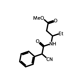 CCC(CC(=O)OC)NC(=O)C(C#N)c1ccccc1